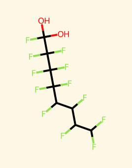 OC(O)(F)C(F)(F)C(F)(F)C(F)(F)C(F)C(F)C(F)C(F)F